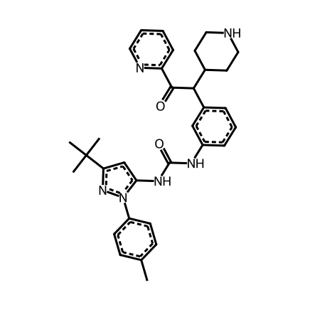 Cc1ccc(-n2nc(C(C)(C)C)cc2NC(=O)Nc2cccc(C(C(=O)c3ccccn3)C3CCNCC3)c2)cc1